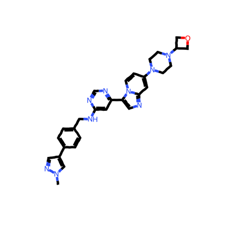 Cn1cc(-c2ccc(CNc3cc(-c4cnc5cc(N6CCN(C7COC7)CC6)ccn45)ncn3)cc2)cn1